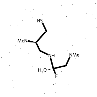 CNC[C@@](C)(F)NC[C@H](CS)NC